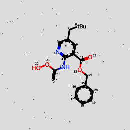 C=C(Nc1ncc(CC(C)(C)C)cc1C(=O)OCc1ccccc1)OO